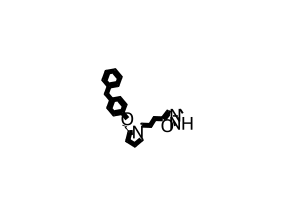 CN1C=C(CCCN2CCC[C@@H]2COc2ccc(Cc3ccccc3)cc2)ON1